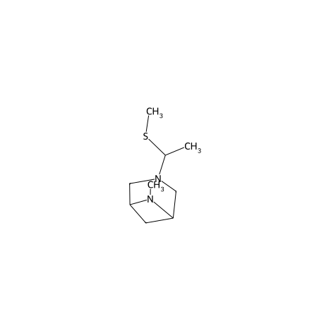 CSC(C)N1CC2CC(C1)N2C